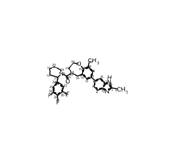 Cc1nc2ccc(-c3cc(C)c4c(c3)CN(C(=O)N3CCCCC3c3cc(F)c(F)c(F)c3)CCO4)cc2[nH]1